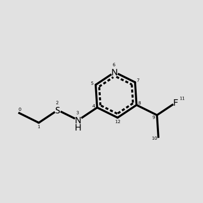 CCSNc1cncc(C(C)F)c1